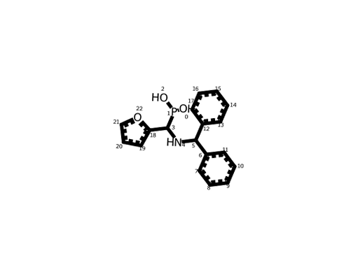 OP(O)C(NC(c1ccccc1)c1ccccc1)c1ccco1